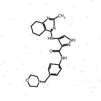 Cc1nc2c(c(Nc3c[nH]nc3C(=O)Nc3ccc(CN4CCOCC4)cc3)n1)CCCC2